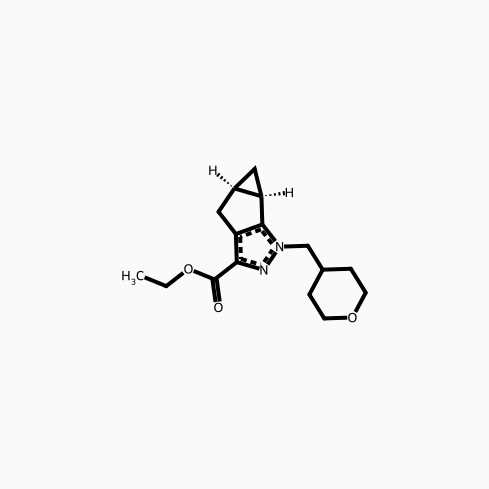 CCOC(=O)c1nn(CC2CCOCC2)c2c1C[C@H]1C[C@@H]21